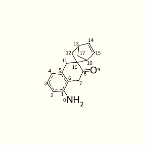 Nc1cccc2c1CC(=O)C1(C2)CC2C=CC1C2